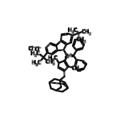 CC1=[C]([Zr+2](=[C](c2ccccc2)c2ccccc2)[CH]2c3cc(C(C)(C)C)ccc3-c3ccc(C(C)(C)C)cc32)C(C)C=C1CC12CC3CC(CC(C3)C1)C2.[Cl-].[Cl-]